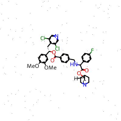 COc1ccc([C@H](Cc2c(Cl)cncc2Cl)OC(=O)c2ccc(CNC(C(=O)O[C@H]3CN4CCC3CC4)c3ccc(F)cc3)cc2)cc1OC